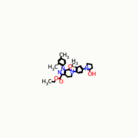 CCOC(=O)c1nn(-c2ccc(C)cc2C)c2c1CCN(c1ccc(N3CCCC3O)cc1C)C2=O